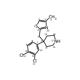 Cc1csc(CC2(c3ccc(Cl)c(Cl)c3)CCNCC2)n1